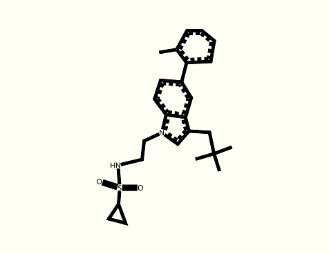 Cc1ccccc1-c1ccc2c(c1)c(CC(C)(C)C)cn2CCNS(=O)(=O)C1CC1